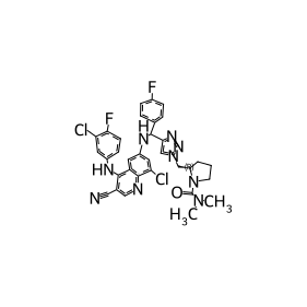 CN(C)C(=O)N1CCC[C@@H]1Cn1cc(C(Nc2cc(Cl)c3ncc(C#N)c(Nc4ccc(F)c(Cl)c4)c3c2)c2ccc(F)cc2)nn1